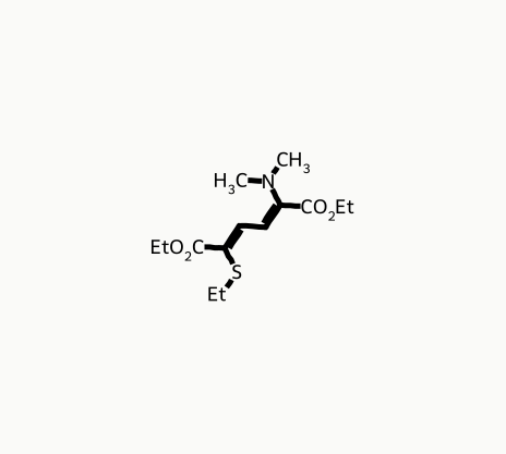 CCOC(=O)/C(=C/C=C(/C(=O)OCC)N(C)C)SCC